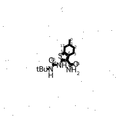 CC1CCc2c(sc(NC(=O)NC(C)(C)C)c2C(N)=O)C1